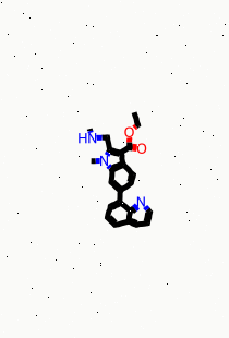 CCOC(=O)c1c(CNC)n(C)c2cc(-c3cccc4cccnc34)ccc12